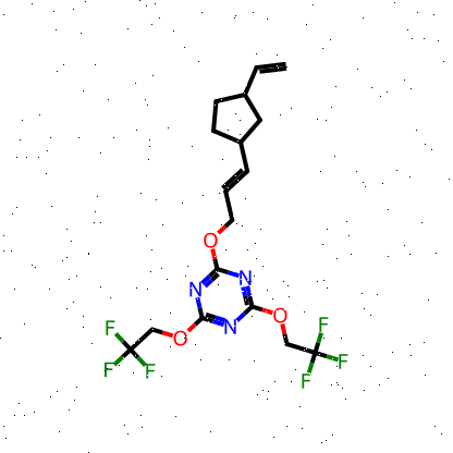 C=CC1CCC(/C=C/COc2nc(OCC(F)(F)F)nc(OCC(F)(F)F)n2)C1